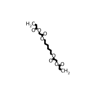 C=CC(=O)OCC(=O)OCCCCCCOC(=O)COC(=O)C=C